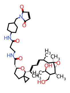 C/C(=C\C=C\[C@@H](C)C[C@@]1(C)O[C@@H]1[C@H](C)[C@@H](CO)[C@@H](C)O)[C@H]1O[C@@H](CC(=O)NCCC(=O)NC2CCC(CN3C(=O)C=CC3=O)CC2)CCC12CC2